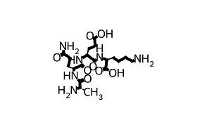 C[C@H](N)C(=O)N[C@@H](CCC(N)=O)C(=O)N[C@@H](CCC(=O)O)C(=O)N[C@@H](CCCCN)C(=O)O